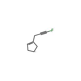 FC#CCC1=CC[CH]C1